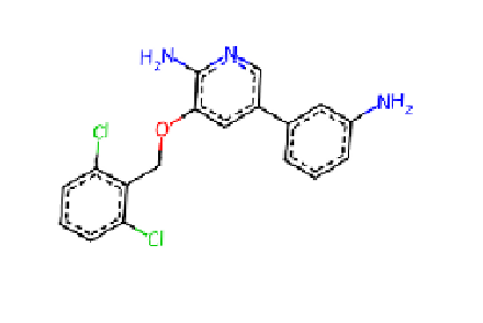 Nc1cccc(-c2cnc(N)c(OCc3c(Cl)cccc3Cl)c2)c1